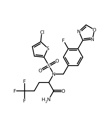 NC(=O)C(CCC(F)(F)F)N(Cc1ccc(-c2ncon2)c(F)c1)S(=O)(=O)c1ccc(Cl)s1